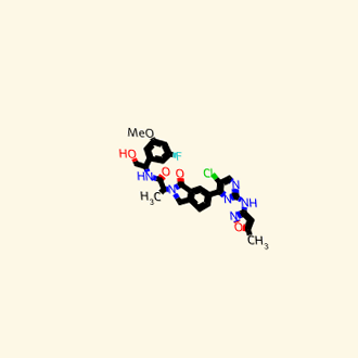 COc1cc(F)cc(C(CO)NC(=O)C(C)N2Cc3ccc(-c4nc(Nc5cc(C)on5)ncc4Cl)cc3C2=O)c1